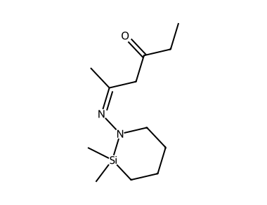 CCC(=O)CC(C)=NN1CCCC[Si]1(C)C